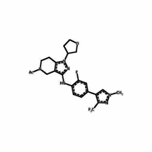 CC(=O)N1CCc2c(c(Nc3ccc(-c4cn(C)nc4C(F)(F)F)cc3F)nn2C2CCOC2)C1